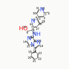 Cc1cc(-c2ncc(C(CO)Nc3nccn4c(-c5ccccc5)cnc34)cc2C)ccn1